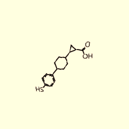 O=C(O)C1CC1C1CCC(c2ccc(S)cc2)CC1